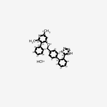 Cc1cc(OCc2ccc(-c3ccccc3-c3nnn[nH]3)cc2)c(-c2ccccc2)c(C)n1.Cl